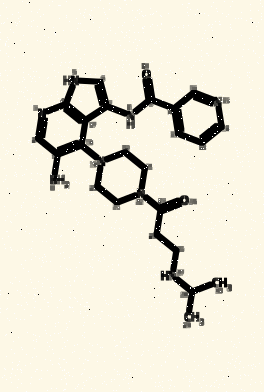 Bc1cnc2[nH]cc(NC(=O)c3cccnc3)c2c1N1CCN(C(=O)CCNC(C)C)CC1